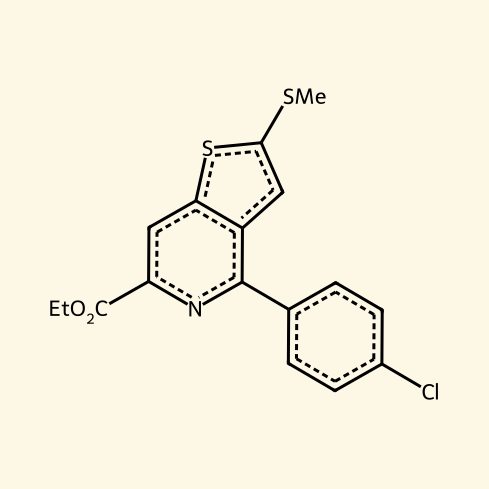 CCOC(=O)c1cc2sc(SC)cc2c(-c2ccc(Cl)cc2)n1